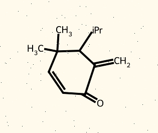 C=C1C(=O)C=CC(C)(C)C1C(C)C